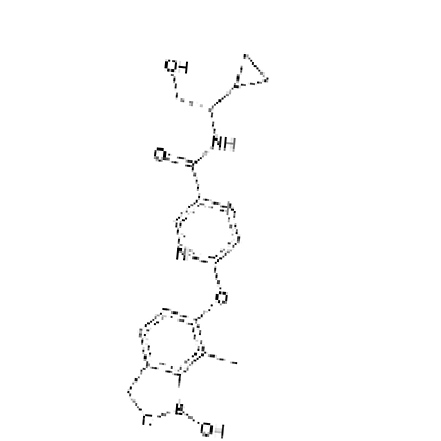 Cc1c(Oc2cnc(C(=O)N[C@H](CO)C3CC3)cn2)ccc2c1B(O)OC2